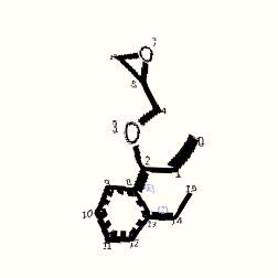 C=C/C(OCC1CO1)=c1/cccc/c1=C/C